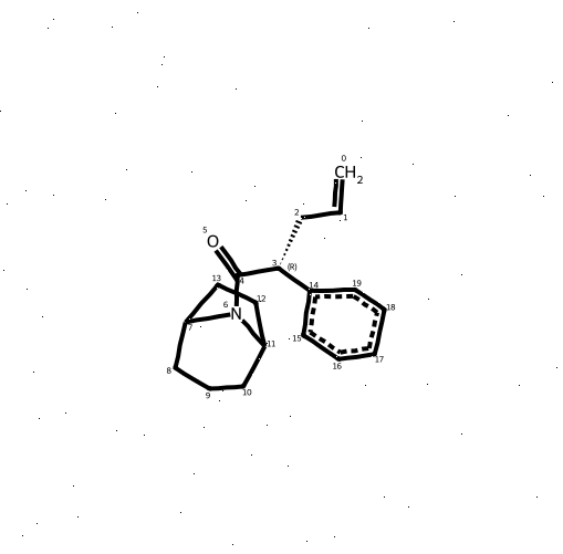 C=CC[C@@H](C(=O)N1C2CCCC1CC2)c1ccccc1